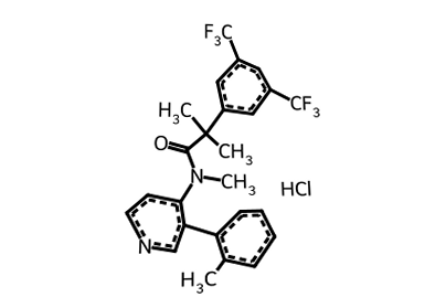 Cc1ccccc1-c1cnccc1N(C)C(=O)C(C)(C)c1cc(C(F)(F)F)cc(C(F)(F)F)c1.Cl